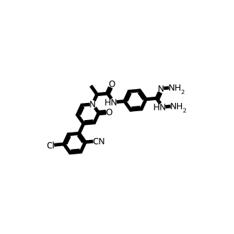 CC(C(=O)Nc1ccc(/C(=N/N)NN)cc1)n1ccc(-c2cc(Cl)ccc2C#N)cc1=O